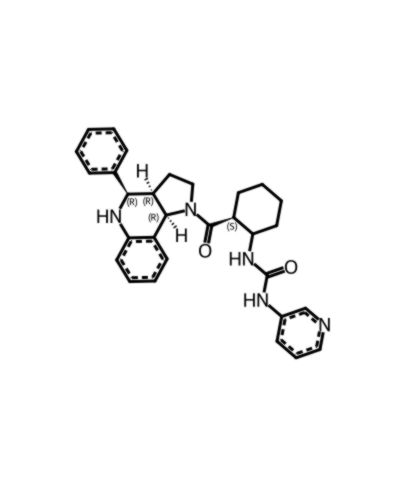 O=C(Nc1cccnc1)NC1CCCC[C@@H]1C(=O)N1CC[C@@H]2[C@H](c3ccccc3)Nc3ccccc3[C@@H]21